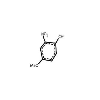 [CH]c1ccc(OC)cc1[N+](=O)[O-]